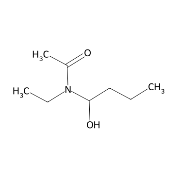 CCCC(O)N(CC)C(C)=O